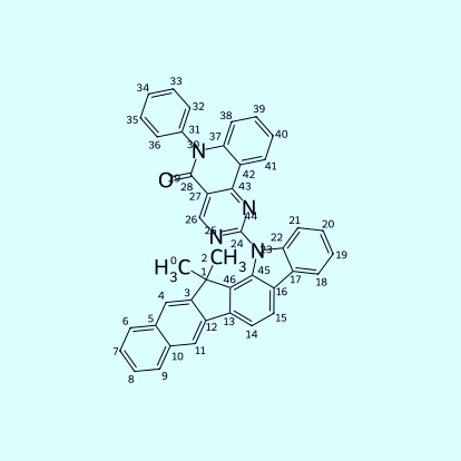 CC1(C)c2cc3ccccc3cc2-c2ccc3c4ccccc4n(-c4ncc5c(=O)n(-c6ccccc6)c6ccccc6c5n4)c3c21